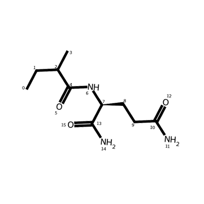 CCC(C)C(=O)N[C@@H](CCC(N)=O)C(N)=O